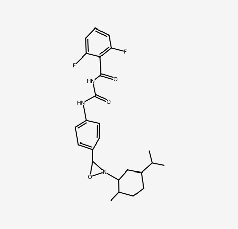 CC(C)C1CCC(C)C(N2OC2c2ccc(NC(=O)NC(=O)c3c(F)cccc3F)cc2)C1